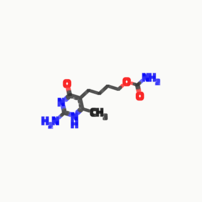 Cc1[nH]c(N)nc(=O)c1CCCCOC(N)=O